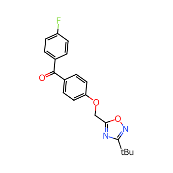 CC(C)(C)c1noc(COc2ccc(C(=O)c3ccc(F)cc3)cc2)n1